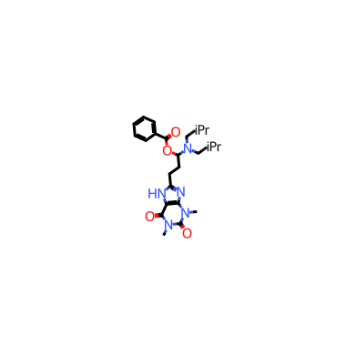 CC(C)CN(CC(C)C)C(CCc1nc2c([nH]1)c(=O)n(C)c(=O)n2C)OC(=O)c1ccccc1